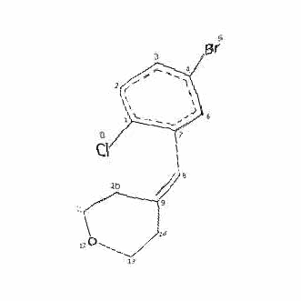 Clc1ccc(Br)cc1C=C1CCOCC1